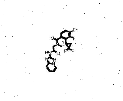 O=C(CN1C[C@@]2(CC2(F)F)c2c(ccc(Br)c2F)C1=O)Nc1nc2ccccn2n1